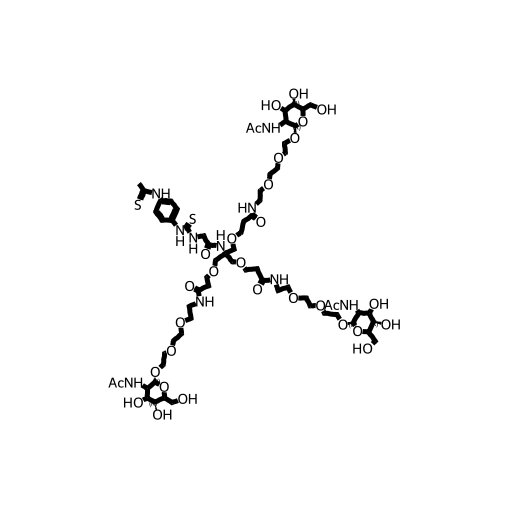 CC(=O)NC1C(O)[C@@H](O)C(CO)O[C@H]1OCCOCCOCCNC(=O)CCOCC(COCCC(=O)NCCOCCOCCO[C@@H]1OC(CO)[C@H](O)C(O)C1NC(C)=O)(COCCC(=O)NCCOCCOCCO[C@@H]1OC(CO)[C@H](O)C(O)C1NC(C)=O)NC(=O)CNC(=S)Nc1ccc(NC(C)=S)cc1